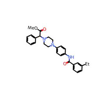 CCc1cccc(C(=O)Nc2ccc(N3CCN(C(C(=O)OC)c4ccccc4)CC3)cc2)c1